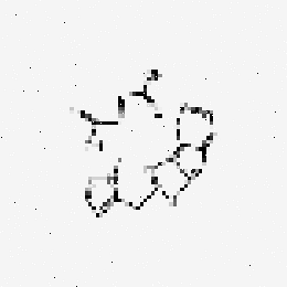 Cn1cccc1Cc1nc2c(s1)=CC1=CC=CCC=21.O=C(O)C=CC(=O)O